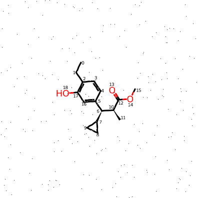 CCc1ccc([C@H](C2CC2)[C@H](C)C(=O)OC)cc1O